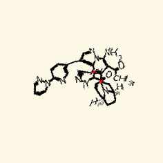 CC(=O)c1c(C2C[C@H]3CC[C@@H](C2)N3C(=O)c2nnc[nH]2)nc2c(-c3ccc(-n4cccn4)nc3)cnn2c1N